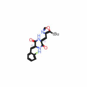 CC(C)(C)c1ocnc1/C=c1\[nH]c(=O)/c(=C/c2ccccc2F)[nH]c1=O